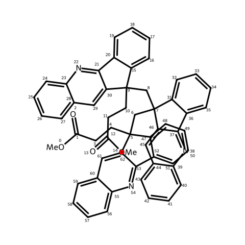 COC(=O)CCC1(CC2(CC3(CCC(=O)OC)c4ccccc4-c4nc5ccccc5cc43)c3ccccc3-c3nc4ccccc4cc32)c2ccccc2-c2nc3ccccc3cc21